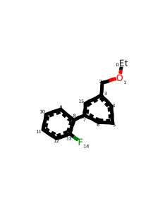 CCOCc1cccc(-c2ccccc2F)c1